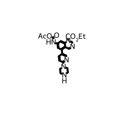 CCOC(=O)N1CN=Cc2c(-c3ccc(N4CCNCC4)nc3)cc(NC(=O)OC(C)=O)cc21